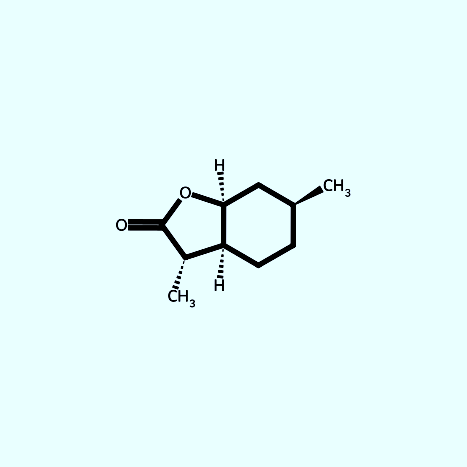 C[C@H]1CC[C@@H]2[C@H](C1)OC(=O)[C@H]2C